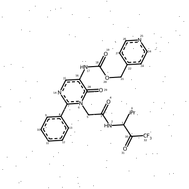 CC(C)C(NC(=O)Cn1c(-c2ccccc2)ncc(NC(=O)OCc2ccncc2)c1=O)C(=O)C(F)(F)F